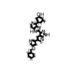 Oc1cc(F)cc(-c2nccc3[nH]c(-c4n[nH]c5ncc(-c6cncc(OCc7ccccc7)c6)cc45)nc23)c1